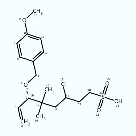 C=C[C@H](OCc1ccc(OC)cc1)C(C)(C)CC(Cl)CCS(=O)(=O)O